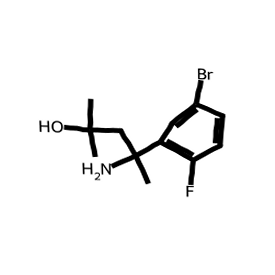 CC(C)(O)CC(C)(N)c1cc(Br)ccc1F